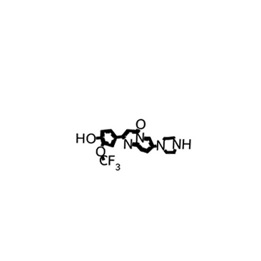 O=c1cc(-c2ccc(O)c(OC(F)(F)F)c2)nc2ccc(N3CCNCC3)cn12